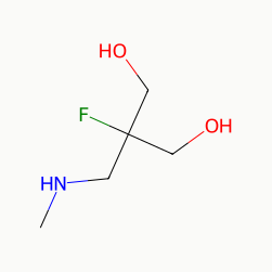 CNCC(F)(CO)CO